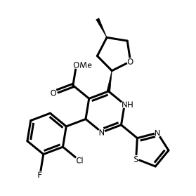 COC(=O)C1=C([C@H]2C[C@@H](C)CO2)NC(c2nccs2)=NC1c1cccc(F)c1Cl